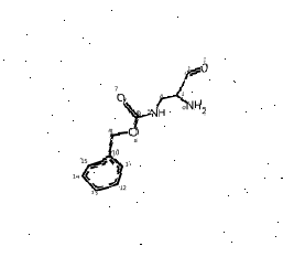 NC([C]=O)CNC(=O)OCc1ccccc1